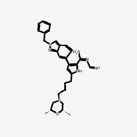 C[C@@H]1CN(CCCCc2cc(-c3ccc4cn(Cc5ccccc5)nc4c3)c(/C(N)=N\C=N)[nH]2)C[C@H](C)O1